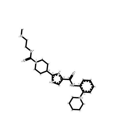 COCCOC(=O)N1CCC(c2nc(C(=O)Nc3ccccc3N3CCCCC3)cs2)CC1